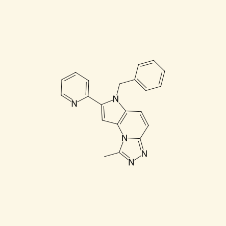 Cc1nnc2ccc3c(cc(-c4ccccn4)n3Cc3ccccc3)n12